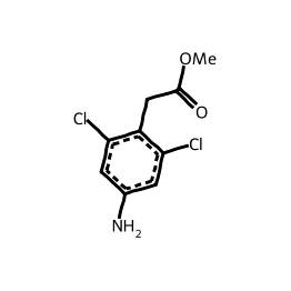 COC(=O)Cc1c(Cl)cc(N)cc1Cl